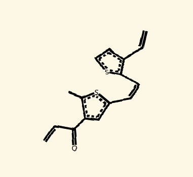 C=CC(=O)c1cc(/C=C\c2sccc2C=C)sc1C